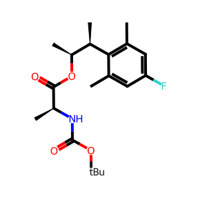 Cc1cc(F)cc(C)c1[C@H](C)[C@H](C)OC(=O)[C@H](C)NC(=O)OC(C)(C)C